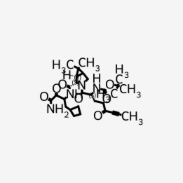 CC#CC(=O)CC[C@H](NC(=O)OC(C)(C)C)C(=O)N1CC2[C@@H]([C@H]1C(=O)NC(CC1CCC1)C(=O)C(N)=O)C2(C)C